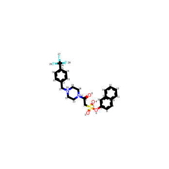 O=C(CS(=O)(=O)Oc1ccc2ccccc2c1)N1CCN(Cc2ccc(C(F)(F)F)cc2)CC1